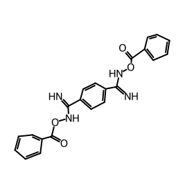 N=C(NOC(=O)c1ccccc1)c1ccc(C(=N)NOC(=O)c2ccccc2)cc1